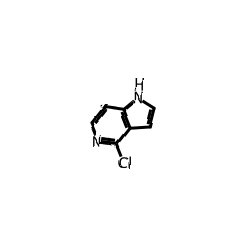 Clc1nc[c]c2[nH]ccc12